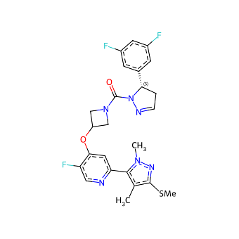 CSc1nn(C)c(-c2cc(OC3CN(C(=O)N4N=CC[C@H]4c4cc(F)cc(F)c4)C3)c(F)cn2)c1C